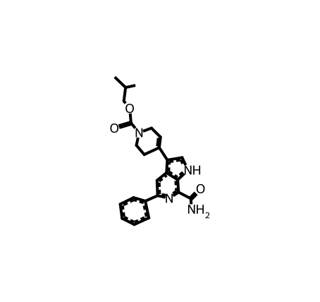 CC(C)COC(=O)N1CC=C(c2c[nH]c3c(C(N)=O)nc(-c4ccccc4)cc23)CC1